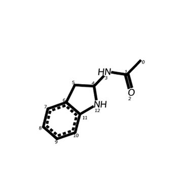 CC(=O)NC1Cc2ccccc2N1